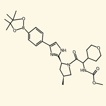 COC(=O)NC(C(=O)N1C[C@@H](C)C[C@H]1c1nc(-c2ccc(B3OC(C)(C)C(C)(C)O3)cc2)c[nH]1)C1CCOCC1